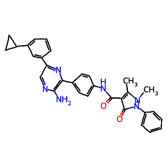 Cc1c(C(=O)Nc2ccc(-c3nc(-c4cccc(C5CC5)c4)cnc3N)cc2)c(=O)n(-c2ccccc2)n1C